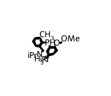 COCOc1ccc(C)cc1Pc1c(C)cccc1CN(C(C)C)C(C)C